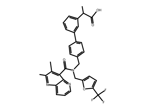 Cc1nc2cccnc2c(C(=O)N(Cc2ccc(-c3cccc(C(C)C(=O)O)c3)cc2)Cc2ccc(C(F)(F)F)o2)c1C